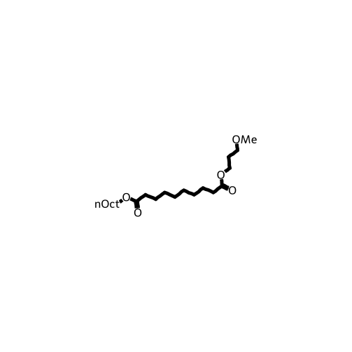 CCCCCCCCOC(=O)CCCCCCCCC(=O)OCCCOC